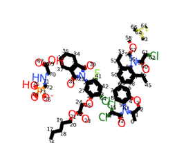 CC1COc2ccccc2N1C(=O)C(Cl)Cl.CCCCCOC(=O)COc1cc(N2C(=O)C3=C(CCCC3)C2=O)c(F)cc1Cl.CCc1cccc(CC)c1N(COC)C(=O)CCl.C[S+](C)C.O=C(O)CNCP(=O)([O-])O